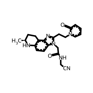 C[C@H]1CCc2c(ccc3c2nc(CCn2ccccc2=O)n3CC(=O)NCC#N)N1